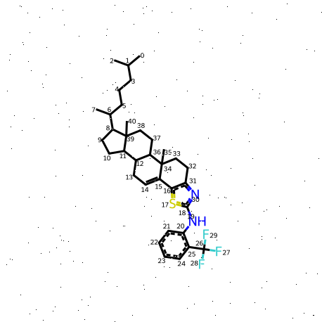 CC(C)CCCC(C)C1CCC2C3CC=C4c5sc(Nc6ccccc6C(F)(F)F)nc5CCC4(C)C3CCC12C